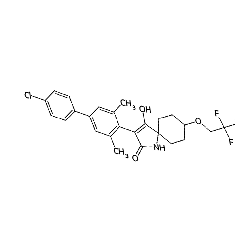 Cc1cc(-c2ccc(Cl)cc2)cc(C)c1C1=C(O)C2(CCC(OCC(F)(F)F)CC2)NC1=O